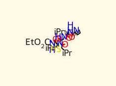 CCOC(=O)CNC(=O)[C@H](CC(C)C)N(C(=O)CNC(=O)[C@H](CC(C)C)NC(=O)[C@@H]1CCCN1)C(=O)C(S)CC(C)C